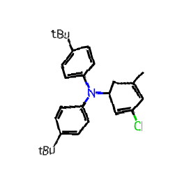 CC1=CC(Cl)=CC(N(c2ccc(C(C)(C)C)cc2)c2ccc(C(C)(C)C)cc2)C1